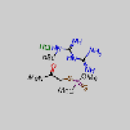 CCCCNC(=N)NC(=N)N.CNC(=O)CSP(=S)(OC)OC.Cl